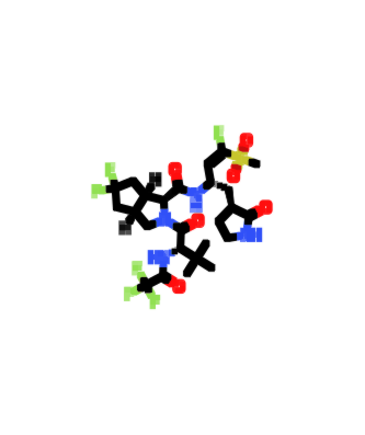 CC(C)(C)[C@H](NC(=O)C(F)(F)F)C(=O)N1C[C@@H]2CC(F)(F)C[C@@H]2[C@H]1C(=O)N[C@H](/C=C(/F)S(C)(=O)=O)C[C@@H]1CCNC1=O